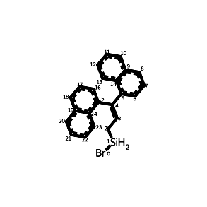 Br[SiH2]CC=C(c1cccc2ccccc12)c1cccc2ccccc12